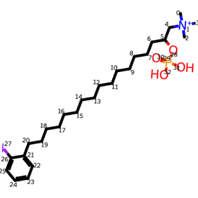 C[N+](C)(C)CC(CCCCCCCCCCCCCCCc1ccccc1I)OP(=O)(O)O